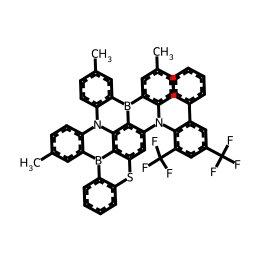 Cc1ccc2c(c1)B1c3cc(C)ccc3N3c4ccc(C)cc4B4c5ccccc5Sc5cc(c1c3c54)N2c1c(-c2ccccc2)cc(C(F)(F)F)cc1C(F)(F)F